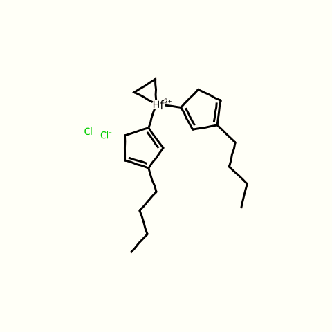 CCCCC1=CC[C]([Hf+2]2([C]3=CC(CCCC)=CC3)[CH2][CH2]2)=C1.[Cl-].[Cl-]